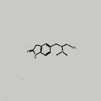 CN(C)C(CN)Cc1ccc2c(c1)CC(=O)N2